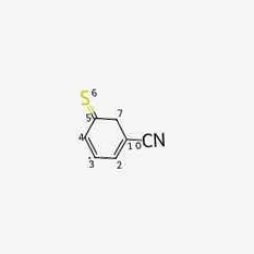 N#CC1=C[C]=CC(=S)C1